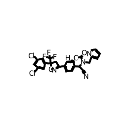 CC(=O)N(Cc1ccccn1)C(C#N)c1ccc(C2=NOC(c3cc(Cl)cc(Cl)c3)(C(F)(F)F)C2)cc1